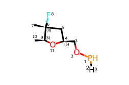 [2H]POC[C@@H]1C[C@@](C)(F)[C@H](C)O1